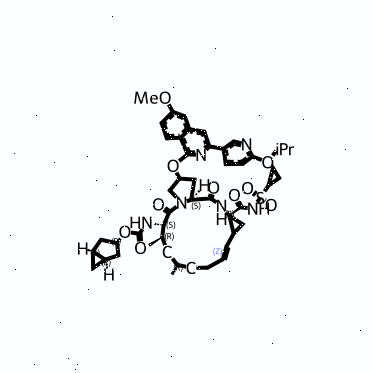 COc1ccc2c(OC3C[C@H]4C(=O)N[C@]5(C(=O)NS(=O)(=O)C6CC6)CC5/C=C\CC[C@@H](C)C[C@@H](C)[C@H](NC(=O)O[C@@H]5C[C@@H]6C[C@@H]6C5)C(=O)N4C3)nc(-c3ccc(OC(C)C)nc3)cc2c1